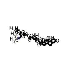 C/C=C/C[C@@H](C)[C@H](CC(N)=O)OC(=O)OCOC(=O)[C@@H](N)CC(=O)OCC(=O)[C@@]1(O)CCC2C3CCC4=CC(=O)C=C[C@]4(C)C3[C@@H](O)C[C@@]21C